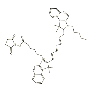 CCCCCN1/C(=C/C=C/C=C/C=C/C2=[N+](CCCCCC(=O)ON3C(=O)CCC3=O)c3ccc4ccccc4c3C2(C)C)C(C)(C)c2c1ccc1ccccc21